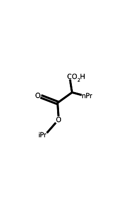 CCCC(C(=O)O)C(=O)OC(C)C